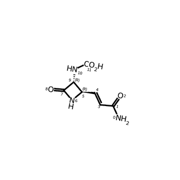 NC(=O)C=C[C@H]1NC(=O)[C@@H]1NC(=O)O